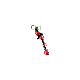 CCc1cc(OCC=C(Cl)Cl)cc(C)c1OCCCCCOCC/C=N/OC(C)(C)C